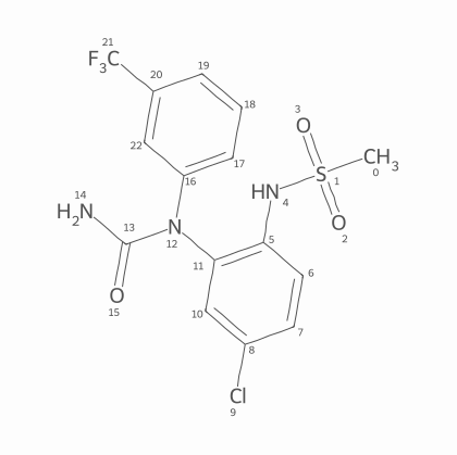 CS(=O)(=O)Nc1ccc(Cl)cc1N(C(N)=O)c1cccc(C(F)(F)F)c1